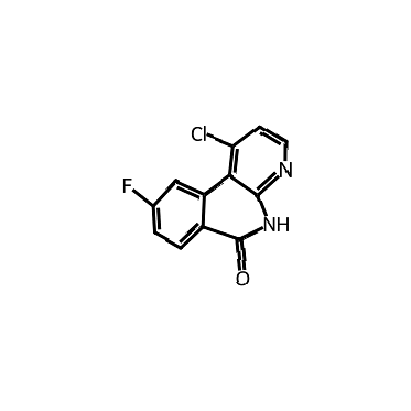 O=c1[nH]c2nccc(Cl)c2c2cc(F)ccc12